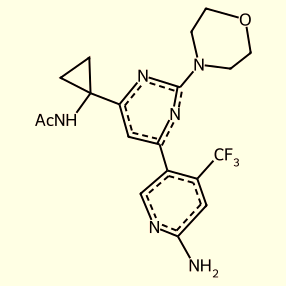 CC(=O)NC1(c2cc(-c3cnc(N)cc3C(F)(F)F)nc(N3CCOCC3)n2)CC1